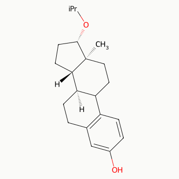 CC(C)O[C@H]1CC[C@H]2[C@@H]3CCc4cc(O)ccc4C3CC[C@]12C